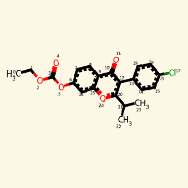 CCOC(=O)Oc1ccc2c(=O)c(-c3ccc(Cl)cc3)c(C(C)C)oc2c1